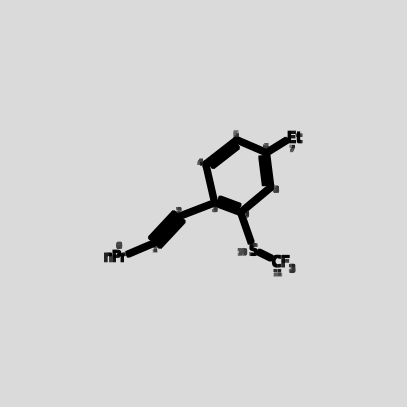 CCCC#Cc1ccc(CC)cc1SC(F)(F)F